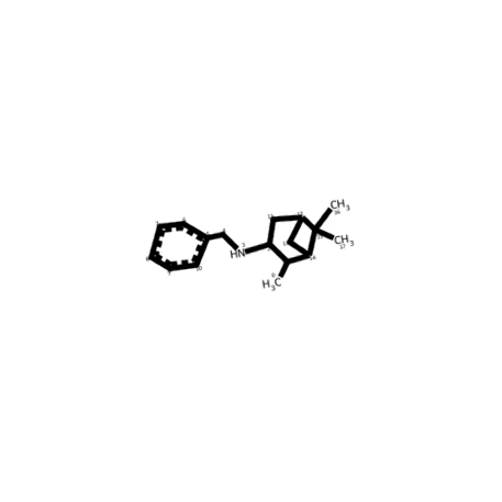 CC1C(NCc2ccccc2)CC2CC1C2(C)C